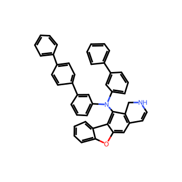 C1=Cc2cc3oc4ccccc4c3c(N(c3cccc(-c4ccccc4)c3)c3cccc(-c4ccc(-c5ccccc5)cc4)c3)c2CN1